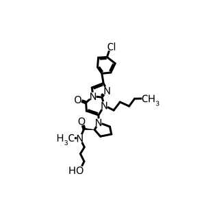 CCCCCn1c(N2CCC[C@H]2C(=O)N(C)CCCO)cc(=O)n2cc(-c3ccc(Cl)cc3)nc12